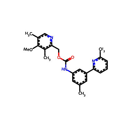 COc1c(C)cnc(COC(=O)Nc2cc(C)cc(-c3cccc(C(F)(F)F)n3)c2)c1C